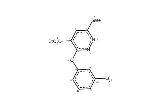 CCOC(=O)c1cc(SC)nnc1Oc1cccc(C(F)(F)F)c1